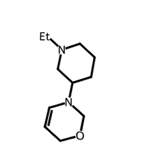 CCN1CCCC(N2C=CCOC2)C1